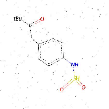 CC(C)(C)C(=O)Cc1ccc(N[SH](=O)=O)cc1